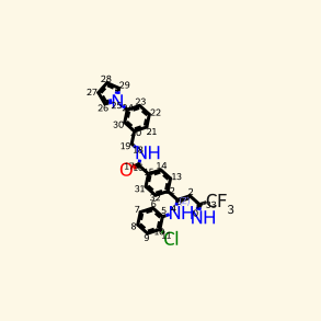 N=C(/C=C(\Nc1ccccc1Cl)c1ccc(C(=O)NCc2cccc(-n3cccc3)c2)cc1)C(F)(F)F